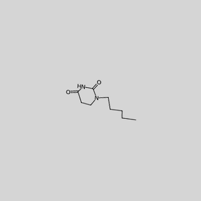 CCCCCN1CCC(=O)NC1=O